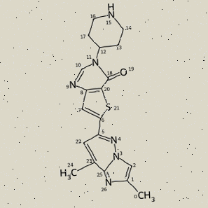 Cc1cn2nc(-c3cc4ncn(C5CCNCC5)c(=O)c4s3)cc(C)c2n1